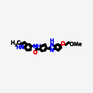 COCCOc1ccc2nc(-c3ccc(C(=O)Nc4ccc5[nH]c(C)cc5c4)cc3)[nH]c2c1